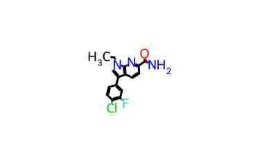 CCn1cc(-c2ccc(Cl)c(F)c2)c2ccc(C(N)=O)nc21